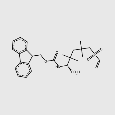 C=CS(=O)(=O)CC(C)(C)CC(C)(C)[C@H](NC(=O)OCC1c2ccccc2-c2ccccc21)C(=O)O